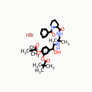 Br.CC(C)(CNC(=O)C1CCCCN1C(=O)c1ccccc1)NCC(O)c1ccc(OC(=O)C(C)(C)C)c(OC(=O)C(C)(C)C)c1